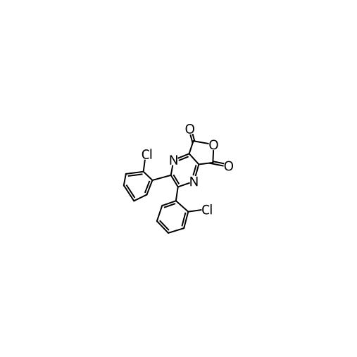 O=C1OC(=O)c2nc(-c3ccccc3Cl)c(-c3ccccc3Cl)nc21